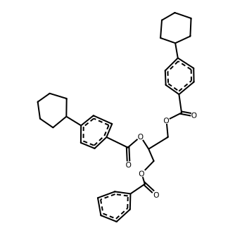 O=C(OCC(COC(=O)c1ccc(C2CCCCC2)cc1)OC(=O)c1ccc(C2CCCCC2)cc1)c1ccccc1